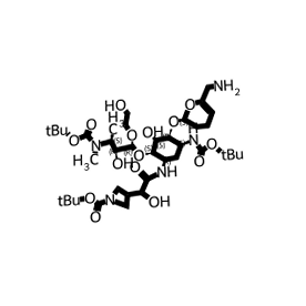 C[C@@H]([C@@H](O)[C@H](OCCO)O[C@@H]1[C@@H](O)[C@H](O[C@@H]2CCC=C(CN)O2)[C@@H](NC(=O)OC(C)(C)C)C[C@H]1NC(=O)C(O)C1CN(C(=O)OC(C)(C)C)C1)N(C)C(=O)OC(C)(C)C